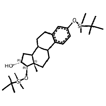 CC(C)(C)[Si](C)(C)Oc1ccc2c(c1)CCC1C2CC[C@@]2(C)C1C[C@@H](O)[C@@H]2O[Si](C)(C)C(C)(C)C